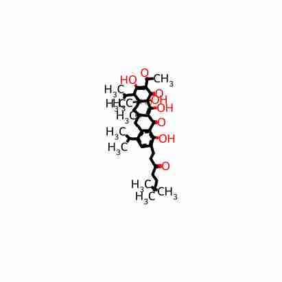 CC(=O)C1=C(O)C(C(C)C)[C@@]2(C)C[C@@]3(C)Cc4c(C(C)C)cc(CCC(=O)CCC(C)(C)C)c(O)c4C(=O)C3=C(O)[C@@]2(O)C1=O